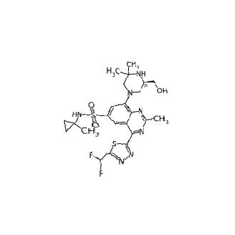 Cc1nc(-c2nnc(C(F)F)s2)c2cc(S(=O)(=O)NC3(C)CC3)cc(N3C[C@H](CO)NC(C)(C)C3)c2n1